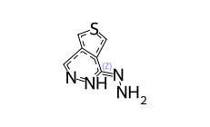 N/N=c1\[nH]ncc2cscc12